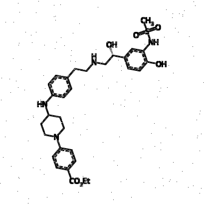 CCOC(=O)c1ccc(N2CCC(Nc3ccc(CCNC[C@H](O)c4ccc(O)c(NS(C)(=O)=O)c4)cc3)CC2)cc1